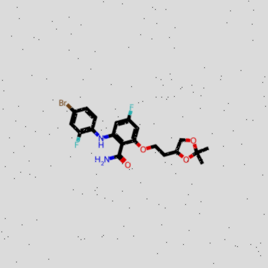 CC1(C)OCC(CCOc2cc(F)cc(Nc3ccc(Br)cc3F)c2C(N)=O)O1